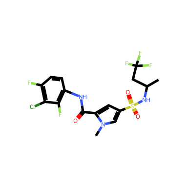 CC(CC(F)(F)F)NS(=O)(=O)c1cc(C(=O)Nc2ccc(F)c(Cl)c2F)n(C)c1